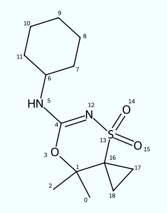 CC1(C)OC(NC2CCCCC2)=NS(=O)(=O)C12CC2